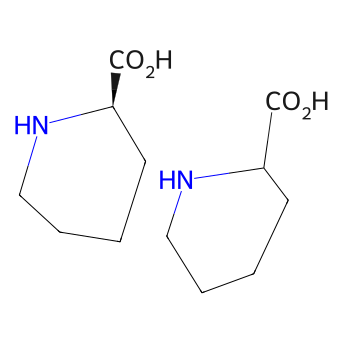 O=C(O)C1CCCCN1.O=C(O)[C@H]1CCCCN1